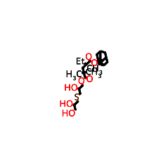 CCC(C)(CC(C)(C)C(=O)OCC(O)CSCC(O)CO)C(=O)OC12CC3CC(CC(C3)C1)C2